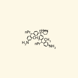 CCCCCCC(c1ccc(C(CCC)c2ccc(N)cc2C)cc1)(c1ccc(C(CCC)c2ccc(N)cc2C)cc1)C1CCCCC1